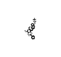 C=N[C@H]1C[C@@]23CC[C@@]4(O2)C(=CC[C@]2(C)[C@@H](O[Si](C)(C)C(C)(C)C)CC[C@H]24)C=C3[C@@H](OC(=O)c2ccccc2)C1=O